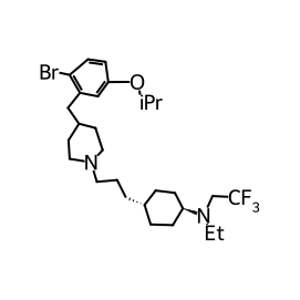 CCN(CC(F)(F)F)[C@H]1CC[C@H](CCCN2CCC(Cc3cc(OC(C)C)ccc3Br)CC2)CC1